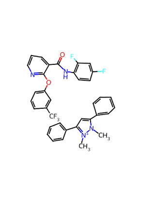 Cn1c(-c2ccccc2)cc(-c2ccccc2)[n+]1C.O=C(Nc1ccc(F)cc1F)c1cccnc1Oc1cccc(C(F)(F)F)c1